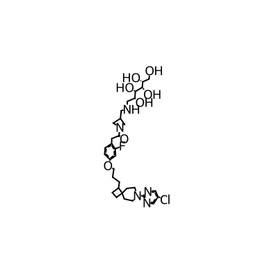 O=C(Cc1ccc(OCCCC2CCC23CCN(c2ncc(Cl)cn2)CC3)cc1F)N1CC(CNC[C@H](O)[C@@H](O)[C@H](O)[C@H](O)CO)C1